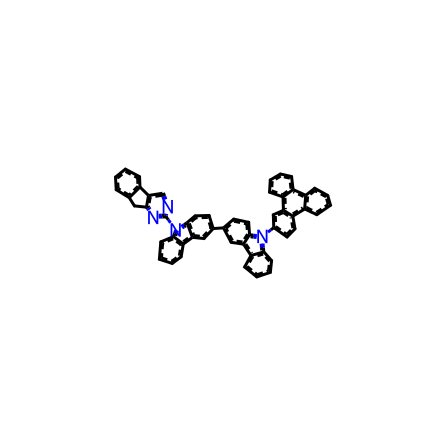 c1ccc2c(c1)Cc1nc(-n3c4ccccc4c4cc(-c5ccc6c(c5)c5ccccc5n6-c5ccc6c7ccccc7c7ccccc7c6c5)ccc43)ncc1-2